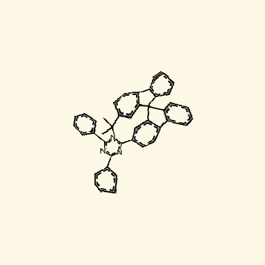 CC(C)(C)c1ccc2c(c1)C1(c3ccc#cc3-2)c2ccccc2-c2ccc(-c3nc(-c4ccccc4)nc(-c4ccccc4)n3)cc21